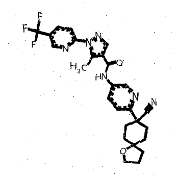 Cc1c(C(=O)Nc2ccc(C3(C#N)CCC4(CCCO4)CC3)nc2)cnn1-c1ccc(C(F)(F)F)cn1